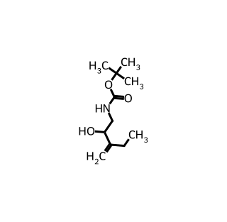 C=C(CC)C(O)CNC(=O)OC(C)(C)C